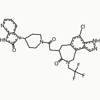 O=C(CC1Cc2cc(Cl)c3[nH]ncc3c2CN(CC(F)(F)F)C1=O)N1CCC(n2c(=O)[nH]c3ncccc32)CC1